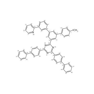 Cc1ccc(-c2cc(-c3cccc(-c4ccccn4)c3)cc(-c3nc(-c4ccc(-c5ccccc5)cc4)nc(-c4ccc(-c5ccccc5)cc4)n3)c2)cc1